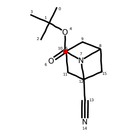 CC(C)(C)OC(=O)N1C2CCCC1(C#N)C2